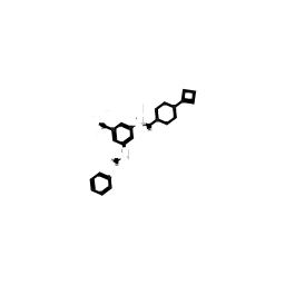 O=C(Nc1cc(NC(=O)C2CCC(C3=CCC3)CC2)cc(C(F)(F)F)c1)Oc1ccccc1